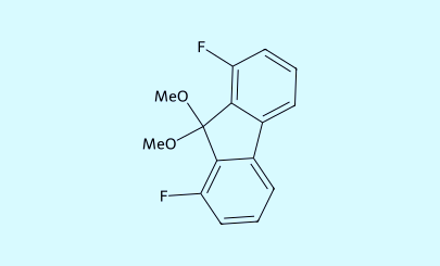 COC1(OC)c2c(F)cccc2-c2cccc(F)c21